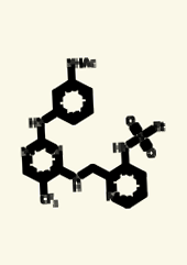 CCS(=O)(=O)Nc1cccnc1CNc1nc(Nc2cccc(NC(C)=O)c2)ncc1C(F)(F)F